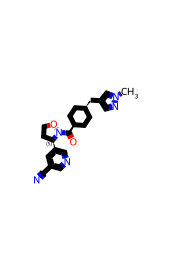 Cn1cc(C[C@H]2CC[C@H](C(=O)N3OCC[C@H]3c3cncc(C#N)c3)CC2)cn1